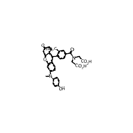 CN(c1ccc(O)cc1)c1ccc2c(-c3ccc(C(=O)N(CC(=O)O)CC(=O)O)cc3C(=O)O)c3ccc(=O)cc-3oc2c1